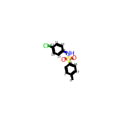 Cc1ccc(S(=O)(=O)Nc2c[c]c(Cl)cc2)cc1